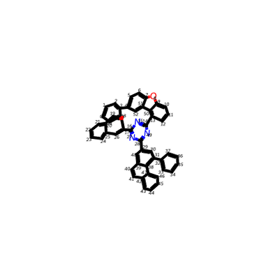 c1ccc(-c2ccc3oc4cccc(-c5nc(-c6ccc7ccccc7c6)nc(-c6cc(-c7ccccc7)c7c(ccc8ccccc87)c6)n5)c4c3c2)cc1